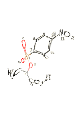 CCOC(=O)C(C)OS(=O)(=O)c1ccc([N+](=O)[O-])cc1